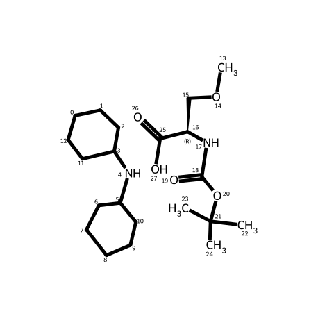 C1CCC(NC2CCCCC2)CC1.COC[C@@H](NC(=O)OC(C)(C)C)C(=O)O